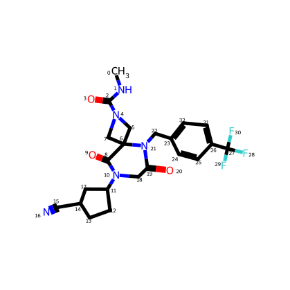 CNC(=O)N1CC2(C1)C(=O)N(C1CCC(C#N)C1)CC(=O)N2Cc1ccc(C(F)(F)F)cc1